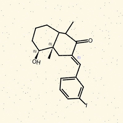 CC1C(=O)/C(=C/c2cccc(I)c2)C[C@@]2(C)C1CCC[C@@H]2O